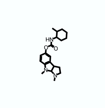 CC1CCCCC1NC(=O)Oc1ccc2c(c1)C1CCN(C)C1N2C